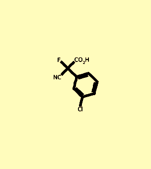 N#CC(F)(C(=O)O)c1cccc(Cl)c1